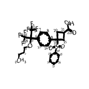 CCCCOC(c1ccc(C2(S(=O)(=O)c3ccccc3)CC(C(=O)O)C2)cc1)(C(F)(F)F)C(F)(F)F